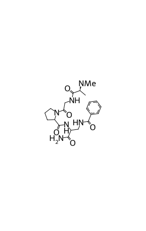 CN[C@@H](C)C(=O)NCC(=O)N1CCCC1C(=O)NC(CNC(=O)c1ccccc1)C(N)=O